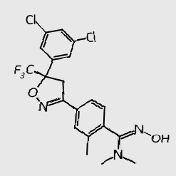 Cc1cc(C2=NOC(c3cc(Cl)cc(Cl)c3)(C(F)(F)F)C2)ccc1/C(=N/O)N(C)C